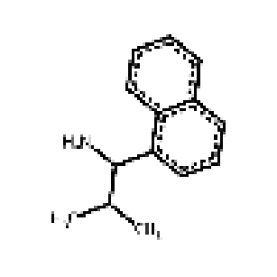 CC(C)C(N)c1cccc2ccccc12